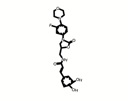 O=C(/C=C/c1ccc(O)c(O)c1)NCC1CN(c2ccc(N3CCOCC3)c(F)c2)C(=O)O1